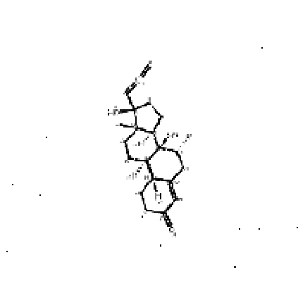 C=C=C[C@]1(O)CC[C@H]2[C@H]3[C@H](CC[C@@]21C)[C@H]1CCC(=O)C=C1C[C@H]3C